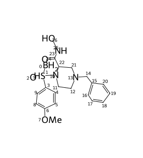 B[SH](=O)(c1ccc(OC)cc1)N1CCN(Cc2ccccc2)CC1C(=O)NO